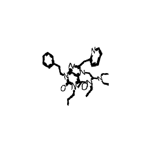 CCCn1c(=O)c2c(nc(Cc3ccccn3)n2CC(N(CC)CC)N(CC)CC)n(CCc2ccccc2)c1=O